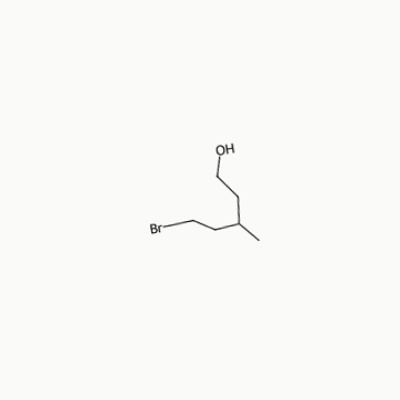 CC(CCO)CCBr